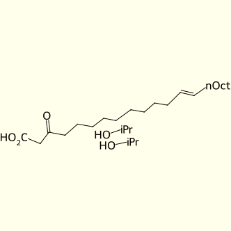 CC(C)O.CC(C)O.CCCCCCCCC=CCCCCCCCCCC(=O)CC(=O)O